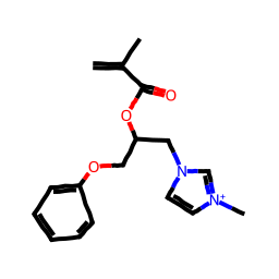 C=C(C)C(=O)OC(COc1ccccc1)Cn1cc[n+](C)c1